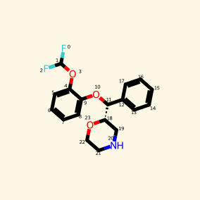 FC(F)Oc1ccccc1OC(c1ccccc1)[C@@H]1CNCCO1